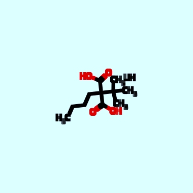 CCCCC(C(=O)O)(C(=O)O)C(C)(C)C.[LiH]